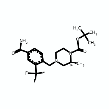 C[C@H]1CN(Cc2ccc(C(N)=O)cc2C(F)(F)F)CCN1C(=O)OC(C)(C)C